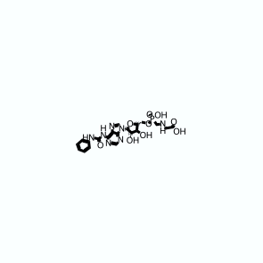 O=C(O)CNCP(=O)(O)OC[C@H]1O[C@@H](n2cnc3c(NC(=O)Nc4ccccc4)ncnc32)[C@@H](O)C1O